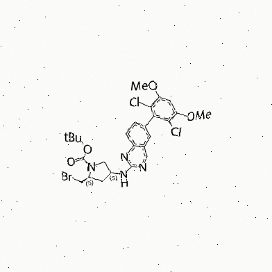 COc1cc(OC)c(Cl)c(-c2ccc3nc(N[C@H]4C[C@@H](CBr)N(C(=O)OC(C)(C)C)C4)ncc3c2)c1Cl